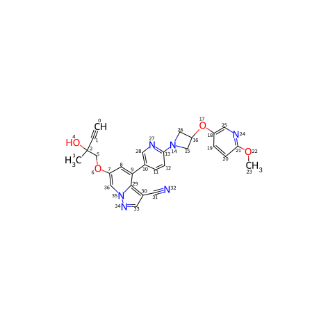 C#CC(C)(O)COc1cc(-c2ccc(N3CC(Oc4ccc(OC)nc4)C3)nc2)c2c(C#N)cnn2c1